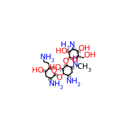 CN[C@@H]1C[C@H](N)C(O[C@H]2O[C@H](CCN)[C@@H](O)C[C@H]2N)[C@H](O)[C@H]1O[C@H]1O[C@H](CO)[C@@H](O)[C@H](N)[C@H]1O